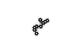 c1ccc(-c2ccc3ccc4ccc(-c5cccc(-c6nc7cc8ccccc8cc7c7c6sc6ccccc67)c5)nc4c3n2)cc1